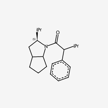 CC(C)C(C(=O)N1C2CCCC2C[C@H]1C(C)C)c1ccccc1